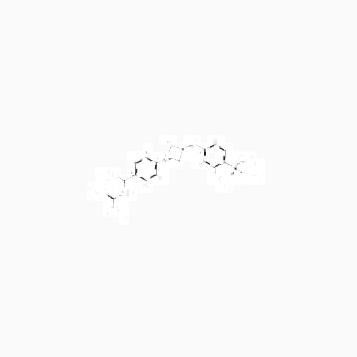 CC(=O)NC(C)c1ccc(N2CC(Oc3ccc(C(C)(C)C)cc3)C2)cc1